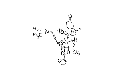 CCN(CC)CC#CCSC(=O)[C@@]1(OC(=O)c2ccco2)[C@H](C)C[C@H]2[C@@H]3C[C@H](F)C4=CC(=O)C=C[C@]4(C)[C@@]3(F)[C@@H](O)C[C@@]21C